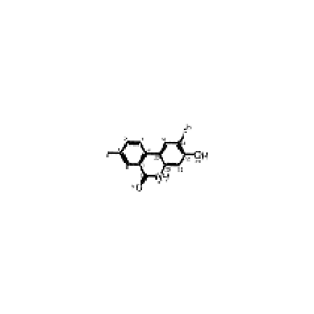 Cc1ccc2c(c1)c(=O)[nH]c1cc(O)c(F)cc12